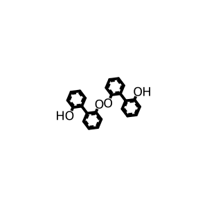 Oc1ccccc1-c1ccccc1OOc1ccccc1-c1ccccc1O